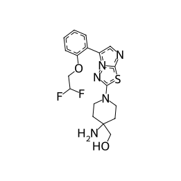 NC1(CO)CCN(c2nn3c(-c4ccccc4OCC(F)F)cnc3s2)CC1